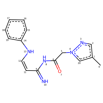 Cc1cnn(CC(=O)NC(=N)/C=C\Nc2ccccc2)c1